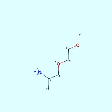 COCCOCC(C)N